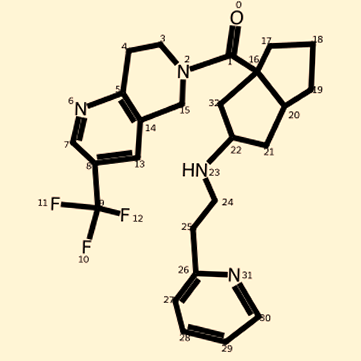 O=C(N1CCc2ncc(C(F)(F)F)cc2C1)C12CCCC1CC(NCCc1ccccn1)C2